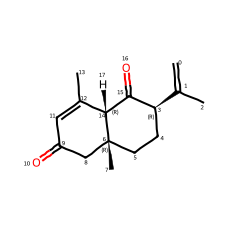 C=C(C)[C@H]1CC[C@]2(C)CC(=O)C=C(C)[C@@H]2C1=O